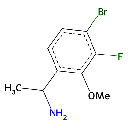 COc1c(C(C)N)ccc(Br)c1F